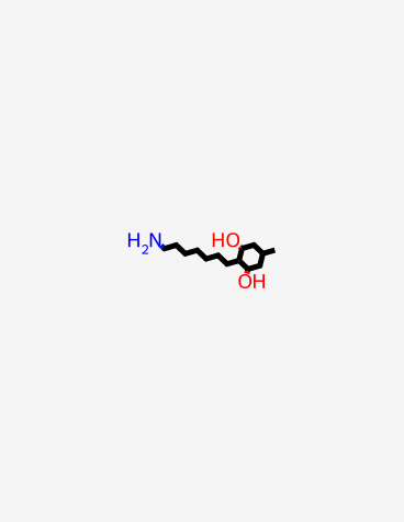 CC1CC(O)C(CCCCCCCN)C(O)C1